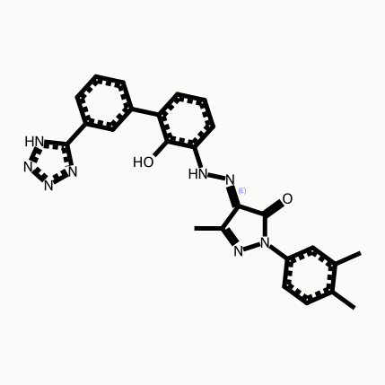 CC1=NN(c2ccc(C)c(C)c2)C(=O)/C1=N/Nc1cccc(-c2cccc(-c3nnn[nH]3)c2)c1O